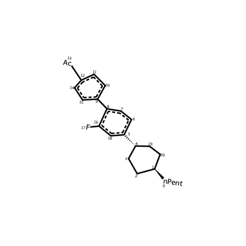 CCCCC[C@H]1CC[C@H](c2ccc(-c3ccc(C(C)=O)cc3)c(F)c2)CC1